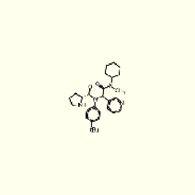 CN(C(=O)[C@@H](c1cccnc1)N(C(=O)[C@H]1CCCN1)c1ccc(C(C)(C)C)cc1)C1CCCCC1